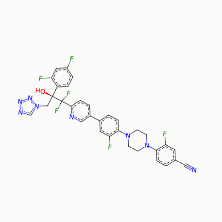 N#Cc1ccc(N2CCN(c3ccc(-c4ccc(C(F)(F)[C@](O)(Cn5cnnn5)c5ccc(F)cc5F)nc4)cc3F)CC2)c(F)c1